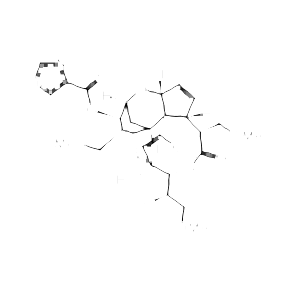 COC[C@@H]1[C@@H](O)[C@@H]2C[C@H](O[C@@H]3C=C[C@@H]4[C@@H](COC)C(=O)O[C@H]([C@H](O)COC)[C@H](C)/C=C(\C)[C@@]432)[C@@H]1OC(=O)c1cocn1